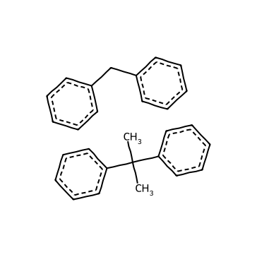 CC(C)(c1ccccc1)c1ccccc1.c1ccc(Cc2ccccc2)cc1